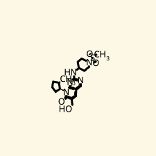 C[C@@H]1CCC[C@@H]1n1c(=O)c(CO)cc2cnc(NC3CCN(S(C)(=O)=O)CC3)nc21